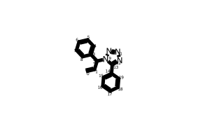 C=CC(c1ccccc1)n1nnnc1-c1ccccc1